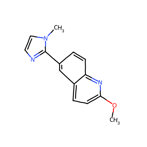 COc1ccc2cc(-c3nccn3C)ccc2n1